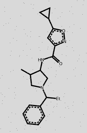 CCC(c1ccccc1)N1CC(C)C(NC(=O)c2cc(C3CC3)on2)C1